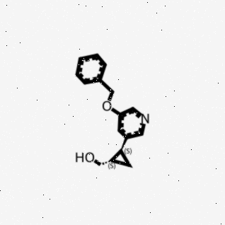 OC[C@H]1C[C@@H]1c1cncc(OCc2ccccc2)c1